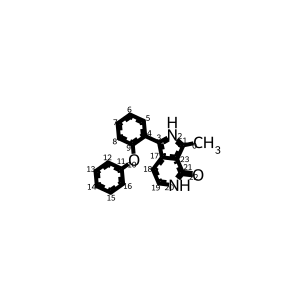 Cc1[nH]c(-c2ccccc2Oc2ccccc2)c2cc[nH]c(=O)c12